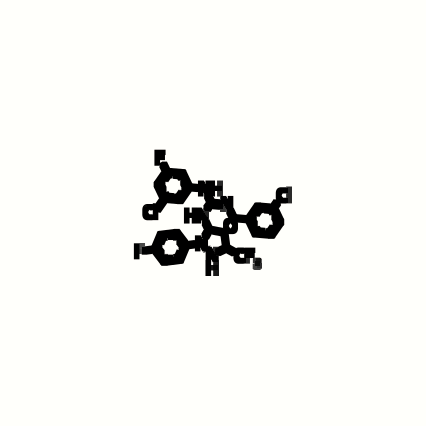 O=C(/N=C(/Nc1cc(F)cc(Cl)c1)NC1CC(C(F)(F)F)NN1c1ccc(F)cc1)c1cccc(Cl)c1